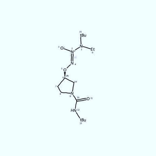 CCN(/[N+]([O-])=N/O[C@@H]1CCN(C(=O)NC(C)(C)C)C1)C(C)(C)C